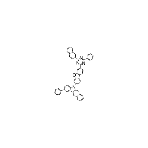 c1ccc(-c2ccc3c(c2)c2cc4ccccc4cc2n3-c2ccc3c(c2)oc2cc(-c4nc(-c5ccccc5)nc(-c5ccc6ccccc6c5)n4)ccc23)cc1